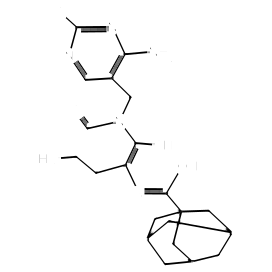 CC(=C(CCO)[SH]=C(O)C12CC3CC(CC(C3)C1)C2)N(C=O)Cc1cnc(C)nc1N